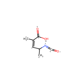 CC(=CC(C)N=C=O)C(=O)O